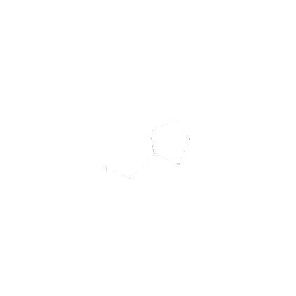 FCC1CCOO1